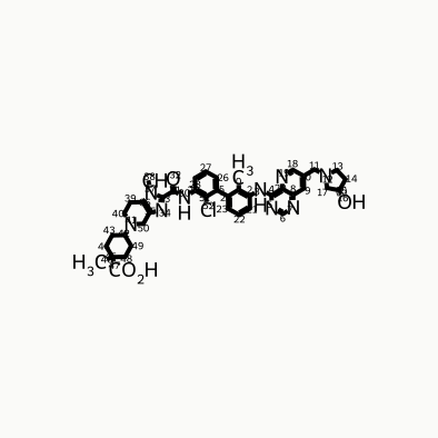 Cc1c(Nc2ncnc3cc(CN4CC[C@@H](O)C4)cnc23)cccc1-c1cccc(NC(=O)c2nc3c(n2C)CCN(C2CCC(C)(C(=O)O)CC2)C3)c1Cl